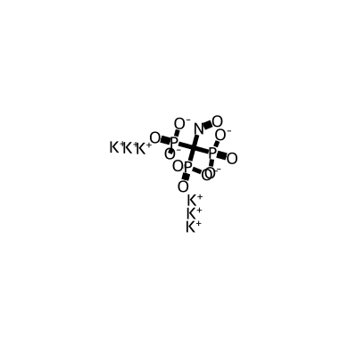 O=NC(P(=O)([O-])[O-])(P(=O)([O-])[O-])P(=O)([O-])[O-].[K+].[K+].[K+].[K+].[K+].[K+]